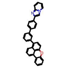 c1cc(-c2ccc(-c3cn4ccccc4n3)cc2)cc(-c2ccc3c4c(cccc24)-c2ccccc2O3)c1